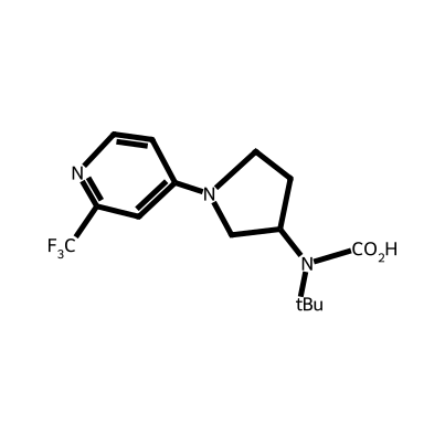 CC(C)(C)N(C(=O)O)C1CCN(c2ccnc(C(F)(F)F)c2)C1